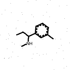 CCC(NC)c1cccc(C)c1